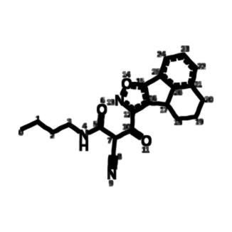 CCCCNC(=O)C(C#N)C(=O)c1noc2c1C1CCCc3cccc-2c31